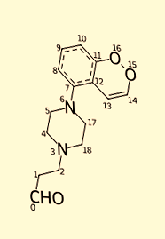 O=CCCN1CCN(c2cccc3c2C=COO3)CC1